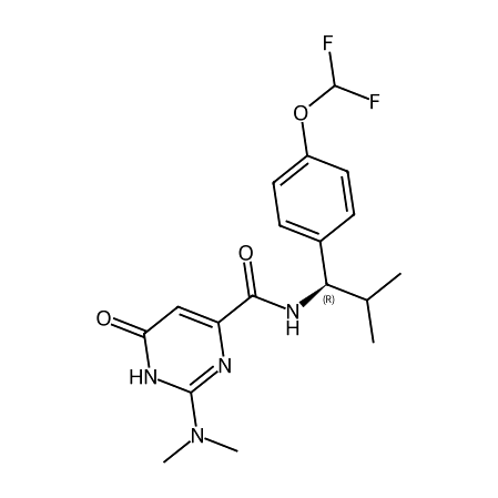 CC(C)[C@@H](NC(=O)c1cc(=O)[nH]c(N(C)C)n1)c1ccc(OC(F)F)cc1